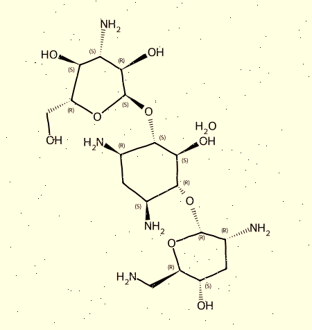 NC[C@H]1O[C@H](O[C@H]2[C@H](O)[C@@H](O[C@H]3O[C@H](CO)[C@@H](O)[C@H](N)[C@H]3O)[C@H](N)C[C@@H]2N)[C@H](N)C[C@@H]1O.O